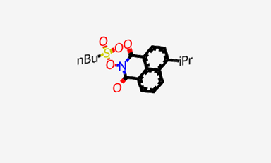 CCCCS(=O)(=O)ON1C(=O)c2cccc3c(C(C)C)ccc(c23)C1=O